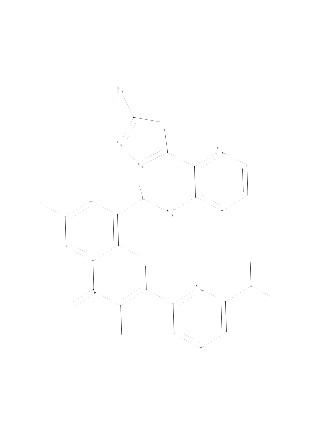 Cc1cc(C(C)Nc2cccnc2-c2nnc(N)o2)c2oc(-c3cccc(C(F)F)n3)c(C)c(=O)c2c1